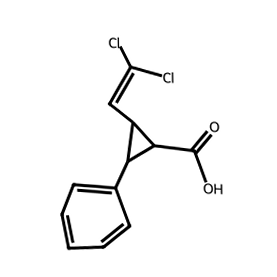 O=C(O)C1C(C=C(Cl)Cl)C1c1ccccc1